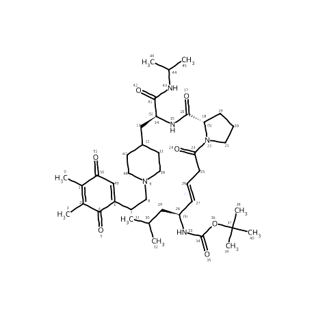 CC1=C(C)C(=O)C(CCN2CCC(C[C@H](NC(=O)[C@@H]3CCCN3C(=O)C/C=C/[C@H](CC(C)C)NC(=O)OC(C)(C)C)C(=O)NC(C)C)CC2)=CC1=O